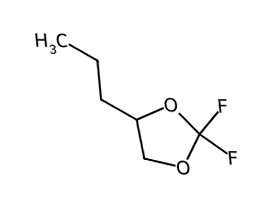 CCCC1COC(F)(F)O1